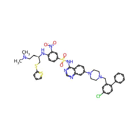 CN(C)CC[C@H](CSc1cccs1)Nc1ccc(S(=O)(=O)Nc2ncnc3cc(N4CCN(Cc5cc(Cl)ccc5-c5ccccc5)CC4)ccc23)cc1[N+](=O)[O-]